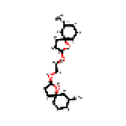 CC(C)C1CCCC2(CCC(OCCOC3CCC4(CCCC(C(C)C)C4)O3)O2)C1